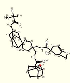 CCC1(C(=O)OCC2(COC(=O)C34CC5CC(C3)C(=O)C(C5)C4)COC3(OC2)C2CC4CC3CC(OC(=O)C(F)(F)S)(C4)C2)CC=C2OCC2C1